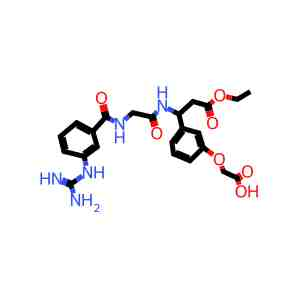 CCOC(=O)CC(NC(=O)CNC(=O)c1cccc(NC(=N)N)c1)c1cccc(OCC(=O)O)c1